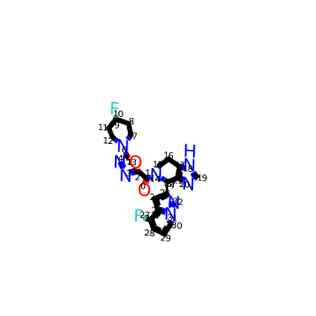 O=C(c1nnc(N2CCC(F)CC2)o1)N1CCc2[nH]cnc2[C@H]1c1cc2c(F)cccn2n1